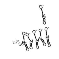 [Gd+3].[Lu+3].[O]=[Al][O-].[O]=[Al][O-].[O]=[Al][O-].[O]=[Al][O-].[O]=[Al][O-].[O]=[Al][O-]